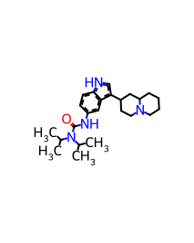 CC(C)N(C(=O)Nc1ccc2[nH]cc(C3CCN4CCCCC4C3)c2c1)C(C)C